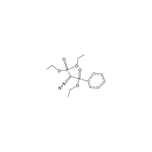 CCOP(=O)(OCC)C(=[N+]=[N-])P(=O)(OCC)c1ccccc1